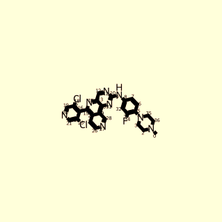 CN1CCN(c2ccc(Nc3ncc4nc(-c5c(Cl)cncc5Cl)c5ccncc5c4n3)cc2F)CC1